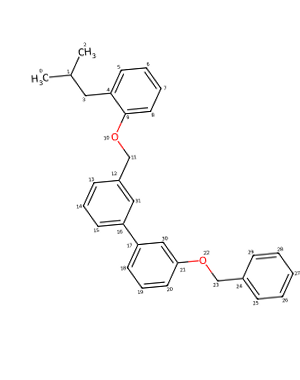 CC(C)Cc1ccccc1OCc1cccc(-c2cccc(OCc3ccccc3)c2)c1